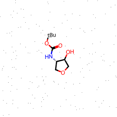 CC(C)(C)OC(=O)N[C@H]1COCC1O